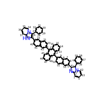 C1=CC2=NC(c3ccc4cc(-c5c6ccccc6c(-c6ccc7cc(C8=C(c9ccccc9)N9C=CC=CC9N8)ccc7c6)c6ccccc56)ccc4c3)C(c3ccccc3)N2C=C1